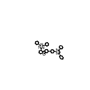 c1ccc(-c2cc(-c3ccccc3)nc(-c3ccc(-c4ccc5c(c4)oc4cccc(-c6nc(-c7ccccc7)nc(-c7ccccc7)n6)c45)cc3)n2)cc1